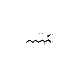 CCCCCCC(Cl)C(=O)OCl.[Co]